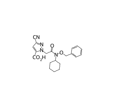 N#Cc1cc(C(=O)O)n(CC(=O)N(OCc2ccccc2)C2CCCCC2)n1